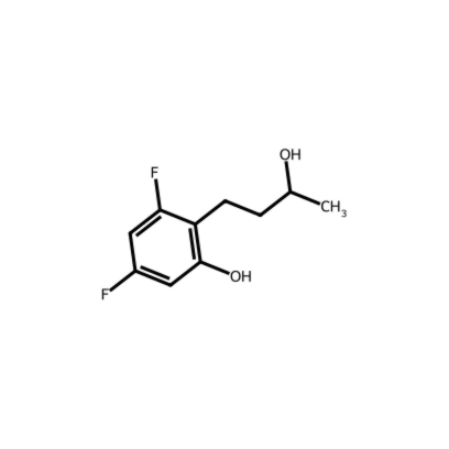 CC(O)CCc1c(O)cc(F)cc1F